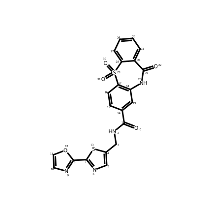 O=C(NCc1cnc(-c2ncco2)s1)c1ccc2c(c1)NC(=O)c1ccccc1S2(=O)=O